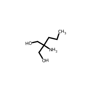 CCCC(N)(CO)CO